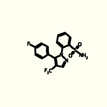 NS(=O)(=O)c1ccccc1-n1ncc(C(F)(F)F)c1-c1ccc(F)cc1